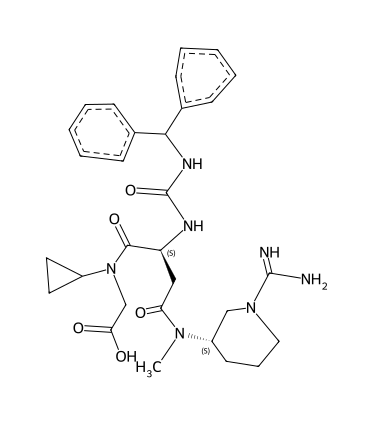 CN(C(=O)C[C@H](NC(=O)NC(c1ccccc1)c1ccccc1)C(=O)N(CC(=O)O)C1CC1)[C@H]1CCCN(C(=N)N)C1